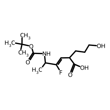 CC(NC(=O)OC(C)(C)C)/C(F)=C/C(CCCO)C(=O)O